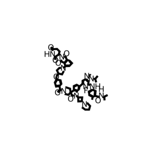 Cc1cc(F)c(Nc2nc(-c3ccc4c(c3)N(C3CC(N5CCCCC5)C3)C(=O)C43CCN(C(=O)c4ccc(OC5CCN(c6cccc7c6C(=O)N(C6CCC(=O)NC6=O)C7=O)CC5)cc4)CC3)cc3ncn(C(C)C)c23)cc1C(=O)NC(C)C